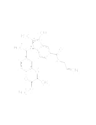 C=CCOC(=O)c1ccc2c(c1)c(C)c(C)n2C(C)c1cccc(OC(C)C(=O)OC)c1